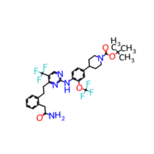 CC(C)(C)OC(=O)N1CCC(c2ccc(Nc3ncc(C(F)(F)F)c(CCc4ccccc4CC(N)=O)n3)c(OC(F)(F)F)c2)CC1